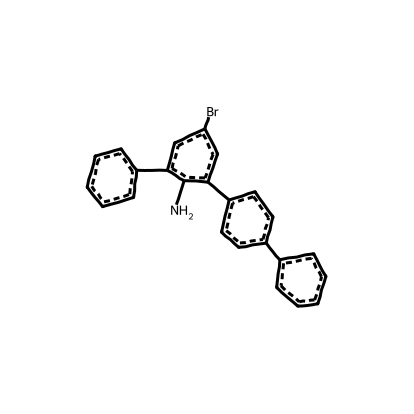 Nc1c(-c2ccccc2)cc(Br)cc1-c1ccc(-c2ccccc2)cc1